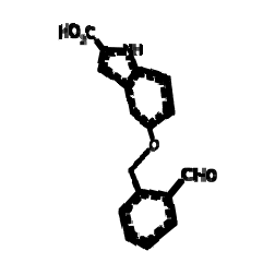 O=Cc1ccccc1COc1ccc2[nH]c(C(=O)O)cc2c1